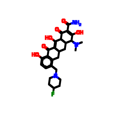 CN(C)[C@@H]1C(O)=C(C(N)=O)C(=O)C2C(O)=C3C(=O)c4c(O)ccc(CN5CCC(F)CC5)c4CC3CC21